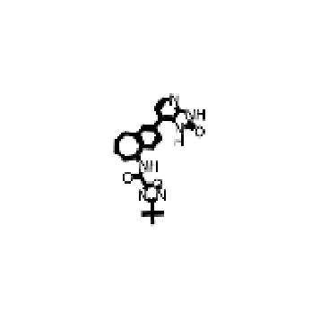 CC(C)(C)c1noc(C(=O)NC2CCCCc3cc(-c4ccnc5[nH]c(=O)[nH]c45)ccc32)n1